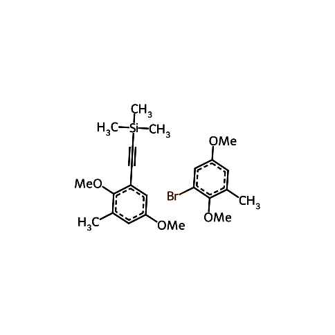 COc1cc(C)c(OC)c(Br)c1.COc1cc(C)c(OC)c(C#C[Si](C)(C)C)c1